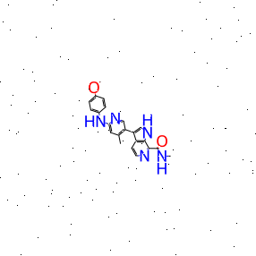 CNC(=O)c1nccc2c(-c3cnc(Nc4ccc(OC)cc4)cc3C)c[nH]c12